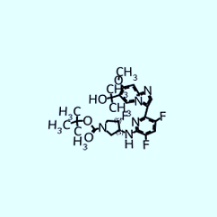 COc1cc2ncc(-c3nc(N[C@H]4CN(C(=O)OC(C)(C)C)C[C@@H]4F)c(F)cc3F)n2cc1C(C)(C)O